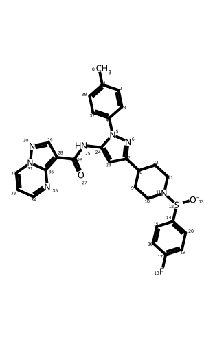 Cc1ccc(-n2nc(C3CCN([S+]([O-])c4ccc(F)cc4)CC3)cc2NC(=O)c2cnn3cccnc23)cc1